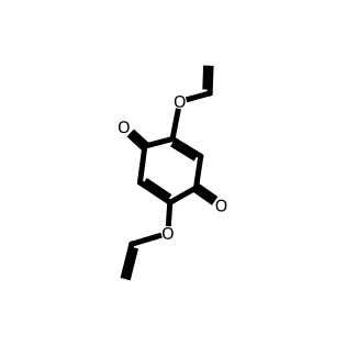 C=COC1=CC(=O)C(OC=C)=CC1=O